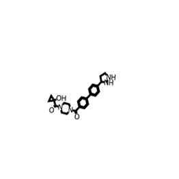 O=C(c1ccc(-c2ccc(C3CCNN3)cc2)cc1)N1CCN(C(=O)C2(O)CC2)CC1